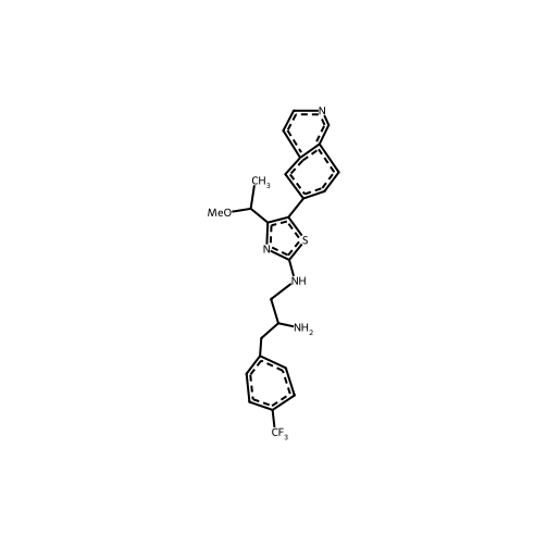 COC(C)c1nc(NCC(N)Cc2ccc(C(F)(F)F)cc2)sc1-c1ccc2cnccc2c1